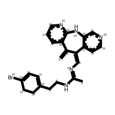 C=C1/C(=C\N=C(/C)NCCC2=CC=C(Br)CC2)c2ccncc2Nc2ncccc21